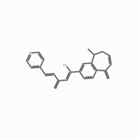 C=C(/C=C/c1ccncc1)/C=C(\CC)c1ccc2c(c1)C(C)CC=CC2=C